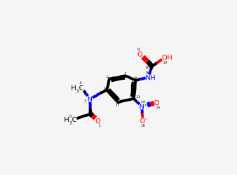 CC(=O)N(C)c1ccc(NC(=O)O)c([N+](=O)[O-])c1